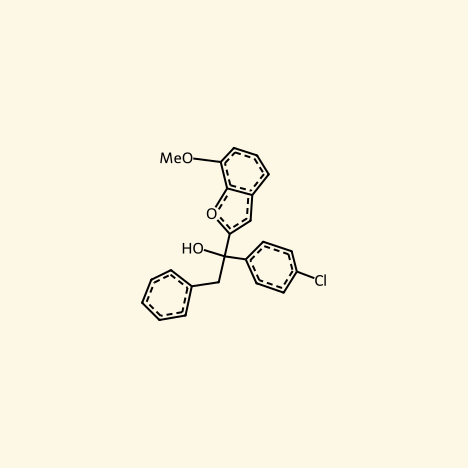 COc1cccc2cc(C(O)(Cc3ccccc3)c3ccc(Cl)cc3)oc12